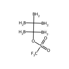 BC(B)(B)C(B)(B)OS(=O)(=O)C(F)(F)F